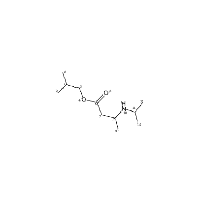 CC(C)COC(=O)CC(C)NC(C)C